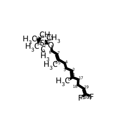 C/C(=C\CC/C(C)=C/CO[Si](C)(C)C(C)(C)C)CCC=C(F)F